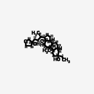 CC[C@]1(O)CC[C@]2(C)C3=CC[C@]4(C)[C@@H]([C@H](C)CC[C@]5(O)CCOC5)CC[C@H]4[C@@H]3CC[C@H]2C1